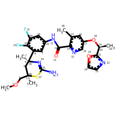 COC[C@@]1(C)C[C@@](C)(c2cc(NC(=O)c3ncc(O[C@@H](C)c4ncco4)cc3C)cc(F)c2F)N=C(N)S1